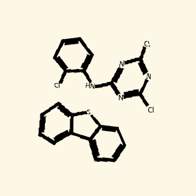 Clc1nc(Cl)nc(Nc2ccccc2Cl)n1.c1ccc2c(c1)sc1ccccc12